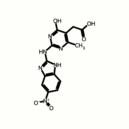 Cc1nc(Nc2nc3cc([N+](=O)[O-])ccc3[nH]2)nc(O)c1CC(=O)O